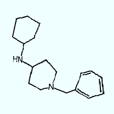 c1ccc(CN2CCC(NC3CCCCC3)CC2)cc1